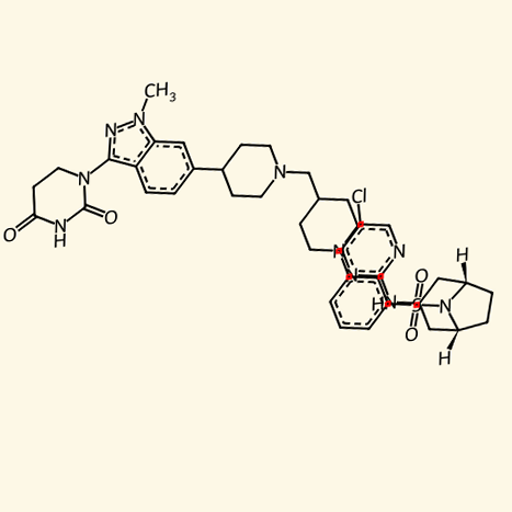 Cn1nc(N2CCC(=O)NC2=O)c2ccc(C3CCN(CC4CCN(c5cccc(S(=O)(=O)N6[C@@H]7CC[C@H]6CC(Nc6ncc(Cl)cn6)C7)c5)CC4)CC3)cc21